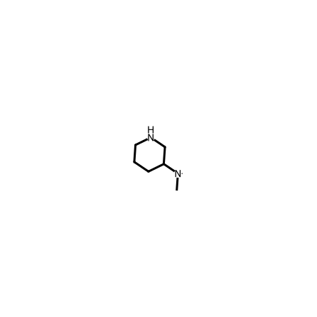 C[N]C1CCCNC1